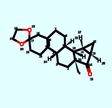 C[C@]12CC[C@@H]3C4=C(CC[C@H]3[C@@H]1[C@H]1C[C@H]1C2=O)CC1(CC4)OCCO1